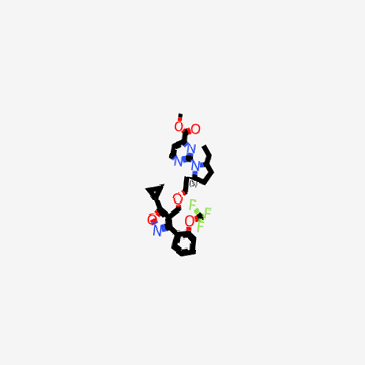 CCC1CC[C@@H](CCOCc2c(-c3ccccc3OC(F)(F)F)noc2C2CC2)N1c1nccc(C(=O)OC)n1